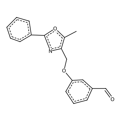 Cc1oc(-c2ccccc2)nc1COc1cccc(C=O)c1